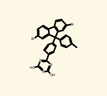 Cc1ccc(C2(c3ccc(-c4nc(O)nc(O)n4)cc3)c3cc(Br)ccc3-c3ccc(Br)cc32)cc1